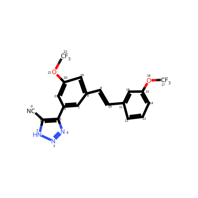 N#Cc1[nH]nnc1-c1cc(/C=C/c2cccc(OC(F)(F)F)c2)cc(OC(F)(F)F)c1